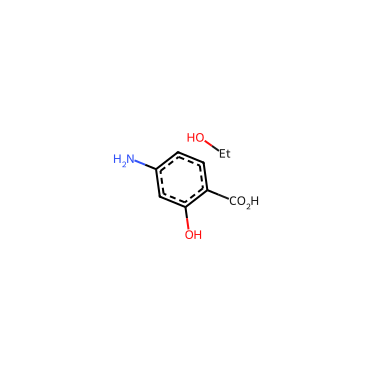 CCO.Nc1ccc(C(=O)O)c(O)c1